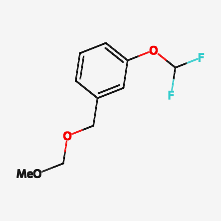 COCOCc1cccc(OC(F)F)c1